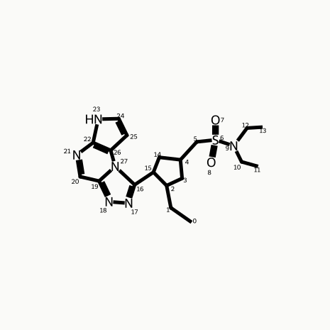 CCC1CC(CS(=O)(=O)N(CC)CC)CC1c1nnc2cnc3[nH]ccc3n12